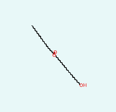 CCCCCCCCC=CCCCCCCCCCCCCCC(=O)OCCCCCCCCCCCCCCCCCCCCCCCCO